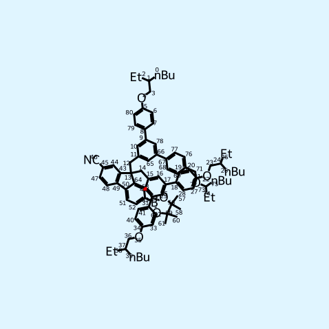 CCCCC(CC)COc1ccc(-c2cc(CC3(Cc4cc(-c5ccc(OCC(CC)CCCC)cc5)cc(-c5ccc(OCC(CC)CCCC)cc5)c4)c4cc(C#N)ccc4-c4ccc(B5OC(C)(C)C(C)(C)O5)cc43)cc(-c3ccc(COC(CC)CCCC)cc3)c2)cc1